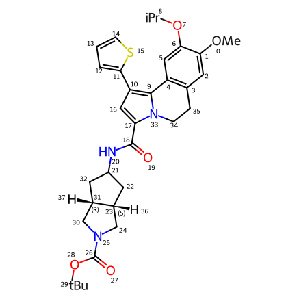 COc1cc2c(cc1OC(C)C)-c1c(-c3cccs3)cc(C(=O)NC3C[C@@H]4CN(C(=O)OC(C)(C)C)C[C@@H]4C3)n1CC2